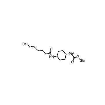 CCCCCCCCCCCCCCCC(=O)N[C@H]1CC[C@H](NC(=O)OC(C)(C)C)CC1